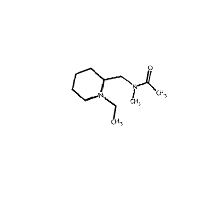 CCN1CCCCC1CN(C)C(C)=O